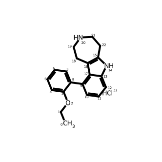 CCOc1ccccc1-c1cccc2[nH]c3c(c12)CCNCC3.Cl